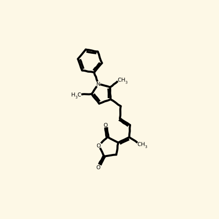 CC(/C=C/Cc1cc(C)n(-c2ccccc2)c1C)=C1CC(=O)OC1=O